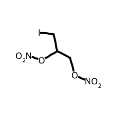 O=[N+]([O-])OCC(CI)O[N+](=O)[O-]